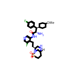 COC1CCC([C@H](c2ccc(F)cc2)[C@H](N)C(=O)Nc2cncc(F)c2CC[C@H]2CN[C@@H]3CCCS(=O)(=O)N2C3)CC1